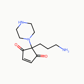 NCCCC1(N2CCNCC2)C(=O)C=CC1=O